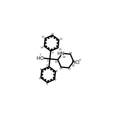 Cl.OC(c1ccccc1)(c1ccccc1)C1CCCCN1